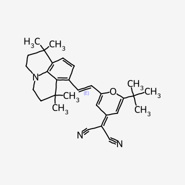 CC(C)(C)C1=CC(=C(C#N)C#N)C=C(/C=C/c2ccc3c4c2C(C)(C)CCN4CCC3(C)C)O1